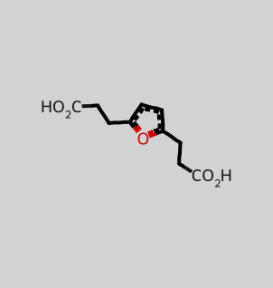 O=C(O)CCc1ccc(CCC(=O)O)o1